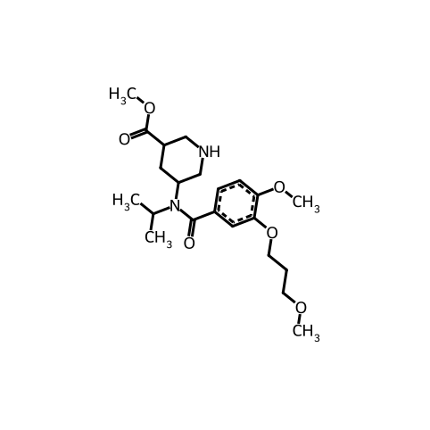 COCCCOc1cc(C(=O)N(C(C)C)C2CNCC(C(=O)OC)C2)ccc1OC